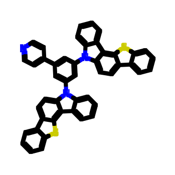 c1ccc2c(c1)sc1c2ccc2c1c1ccccc1n2-c1cc(-c2ccncc2)cc(-n2c3ccccc3c3c4sc5ccccc5c4ccc32)c1